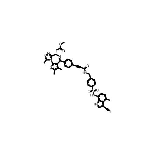 COC(=O)C[C@@H]1N=C(c2ccc(C#CC(=O)NCc3ccc(S(=O)(=O)Nc4ccc(C)c5c(C#N)c[nH]c45)cc3)cc2)c2c(sc(C)c2C)-n2c(C)nnc21